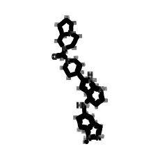 Cn1ncc2cc(Nc3ccnc4[nH]c(C5=CCN(C(=O)N6CCN7CCCC7C6)CC5)cc34)ccc21